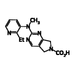 CCc1ncccc1N(C)c1ncc2c(n1)CN(C(=O)O)C2